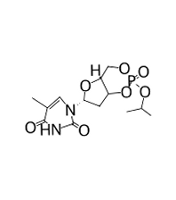 Cc1cn([C@H]2CC3OP(=O)(OC(C)C)OC[C@H]3O2)c(=O)[nH]c1=O